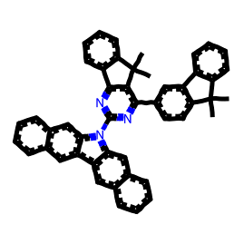 CC1(C)c2ccccc2-c2cc(-c3nc(-n4c5cc6ccccc6cc5c5cc6ccccc6cc54)nc4c3C(C)(C)c3ccccc3-4)ccc21